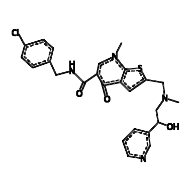 CN(Cc1cc2c(=O)c(C(=O)NCc3ccc(Cl)cc3)cn(C)c2s1)CC(O)c1cccnc1